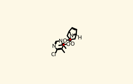 Cc1c(Cl)ncnc1O[C@H]1CC2C=C[C@@H](C1)N2C(=O)OC(C)C